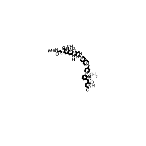 CNC(=O)COc1cc2cc(Nc3nc(N4CCC5(CCN(CC6CCN(c7cccc8c(C9CCC(=O)NC9=O)nn(C)c78)CC6)CC5)CC4)ncc3Cl)cnc2n(C)c1=O